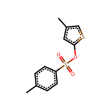 Cc1ccc(S(=O)(=O)Oc2cc(C)cs2)cc1